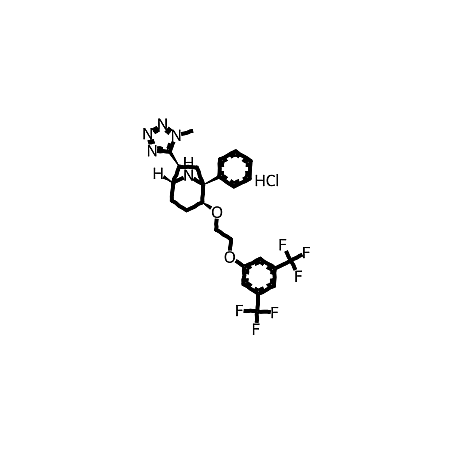 Cl.Cn1nnnc1[C@H]1C[C@@]2(c3ccccc3)N[C@@H]1CC[C@@H]2OCCOc1cc(C(F)(F)F)cc(C(F)(F)F)c1